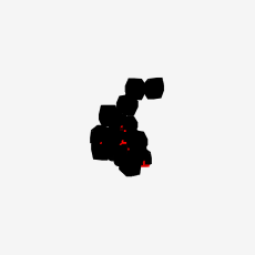 c1ccc(-c2cccc(-c3ccc(N(c4ccc(-c5ccc6c(c5)C5(c7ccccc7Oc7ccccc75)c5ccccc5-6)cc4)c4ccccc4-c4cccc5c4-c4ccccc4C54c5ccccc5Oc5ccccc54)cc3)c2)cc1